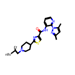 CCCCC(CC)CN1CCC(c2nc(C(=O)Nc3cccnc3-n3nc(C)cc3C)cs2)CC1